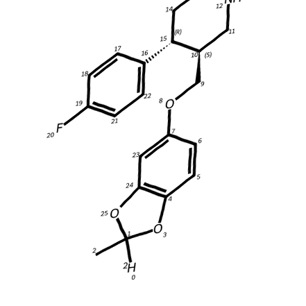 [2H]C1(C)Oc2ccc(OC[C@@H]3CNCC[C@H]3c3ccc(F)cc3)cc2O1